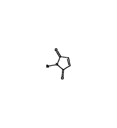 O=C1C=CC(=O)N1Br